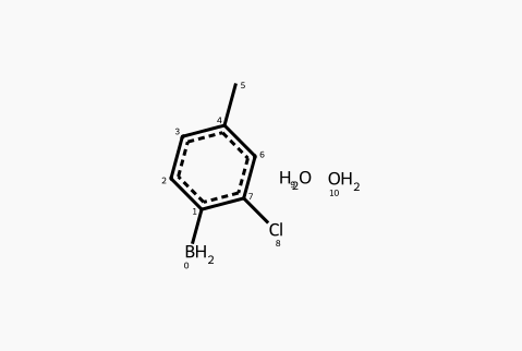 Bc1ccc(C)cc1Cl.O.O